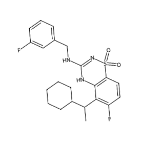 CC(c1c(F)ccc2c1NC(NCc1cccc(F)c1)=NS2(=O)=O)C1CCCCC1